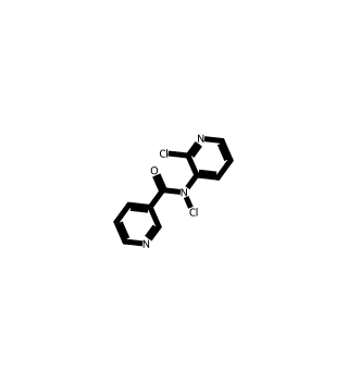 O=C(c1cccnc1)N(Cl)c1cccnc1Cl